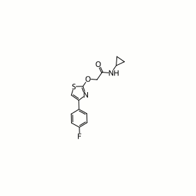 O=C(COc1nc(-c2ccc(F)cc2)cs1)NC1CC1